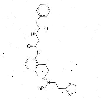 CCCN(CCc1cccs1)[C@H]1CCc2c(cccc2OC(=O)CNC(=O)Cc2ccccc2)C1